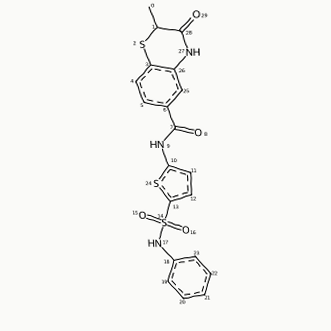 CC1Sc2ccc(C(=O)Nc3ccc(S(=O)(=O)Nc4ccccc4)s3)cc2NC1=O